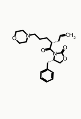 C=CC[C@@H](CCCN1CCOCC1)C(=O)N1C(=O)OC[C@@H]1Cc1ccccc1